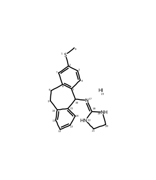 CSc1ccc2c(c1)CCc1ccccc1C2N=C1NCCN1.I